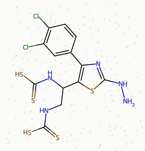 NNc1nc(-c2ccc(Cl)c(Cl)c2)c(C(CNC(=S)S)NC(=S)S)s1